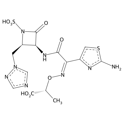 C[C@@H](ON=C(C(=O)N[C@@H]1C(=O)N(S(=O)(=O)O)[C@@H]1Cn1cncn1)c1csc(N)n1)C(=O)O